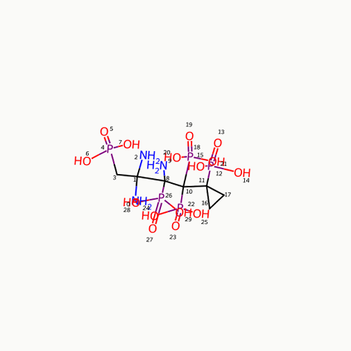 NC(N)(CP(=O)(O)O)C(N)(C(C1(P(=O)(O)O)CC1)(P(=O)(O)O)P(=O)(O)O)P(=O)(O)O